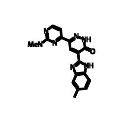 CNc1nccc(-c2cc(-c3nc4cc(C)ccc4[nH]3)c(=O)[nH]n2)n1